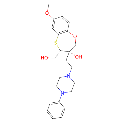 COc1ccc2c(c1)S[C@@H](CO)[C@](O)(CCN1CCN(c3ccccc3)CC1)CO2